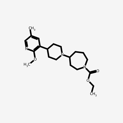 CCOC(=O)N1CCCC(N2CCC(c3cc(C)cnc3OC)CC2)CC1